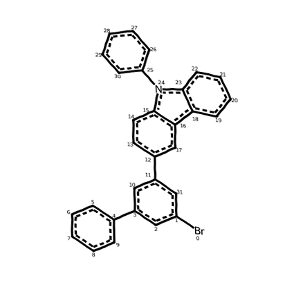 Brc1cc(-c2ccccc2)cc(-c2ccc3c(c2)c2ccccc2n3-c2ccccc2)c1